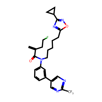 C=C(CCF)C(=O)N(CCCCCc1nc(C2CC2)no1)c1cccc(-c2cnc(C(F)(F)F)nc2)c1